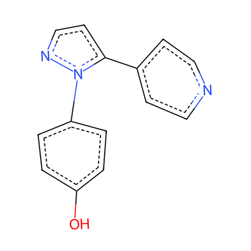 Oc1ccc(-n2nccc2-c2ccncc2)cc1